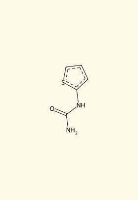 NC(=O)Nc1cccs1